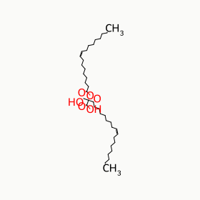 CCCCCCCC/C=C\CCCCCCCC(=O)OC(CO)(C(=O)O)C(=O)CCCCCCC/C=C\CCCCCCCC